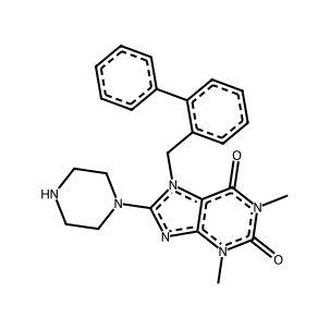 Cn1c(=O)c2c(nc(N3CCNCC3)n2Cc2ccccc2-c2ccccc2)n(C)c1=O